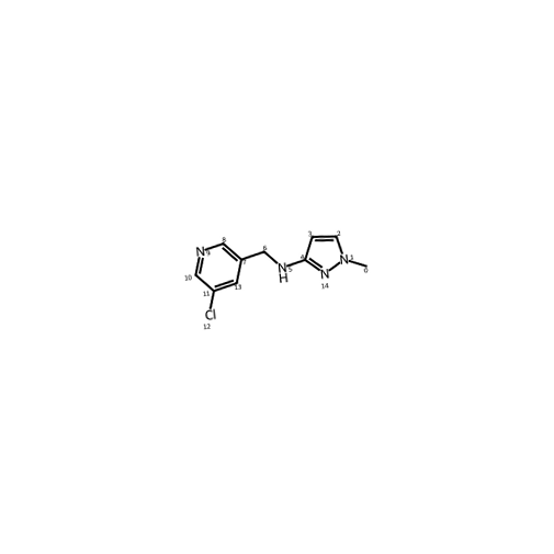 Cn1ccc(NCc2cncc(Cl)c2)n1